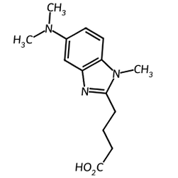 CN(C)c1ccc2c(c1)nc(CCCC(=O)O)n2C